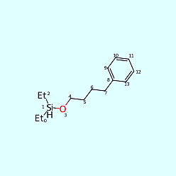 CC[SiH](CC)OCCCCc1ccccc1